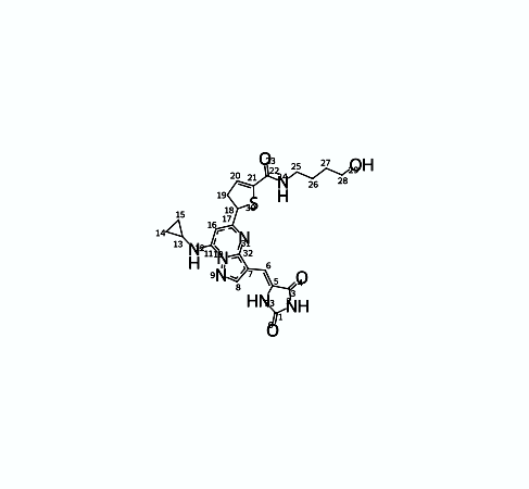 O=C1NC(=O)/C(=C/c2cnn3c(NC4CC4)cc(C4CC=C(C(=O)NCCCCO)S4)nc23)N1